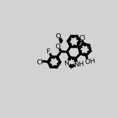 O=COC(c1cccc(Cl)c1F)C(c1ccccc1)c1nc[nH]c1-c1cc(Cl)ccc1O